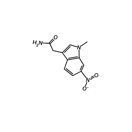 Cn1cc(CC(N)=O)c2ccc([N+](=O)[O-])cc21